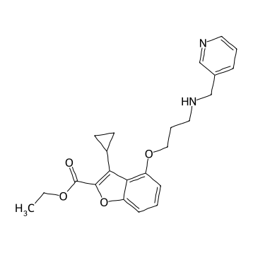 CCOC(=O)c1oc2cccc(OCCCNCc3cccnc3)c2c1C1CC1